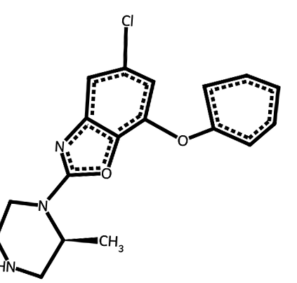 C[C@H]1CNCCN1c1nc2cc(Cl)cc(Oc3ccccc3)c2o1